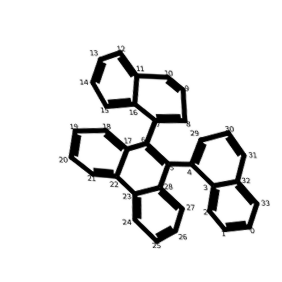 c1ccc2c(-c3c(-c4cccc5ccccc45)c4ccccc4c4ccccc34)cccc2c1